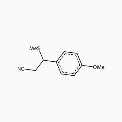 COc1ccc(C(CC#N)SC)cc1